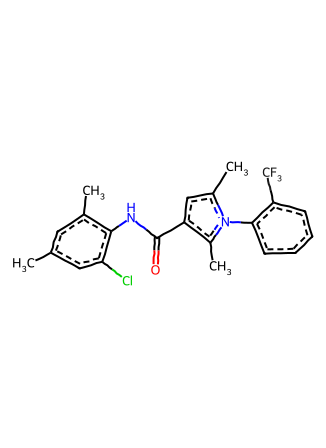 Cc1cc(C)c(NC(=O)c2cc(C)n(-c3ccccc3C(F)(F)F)c2C)c(Cl)c1